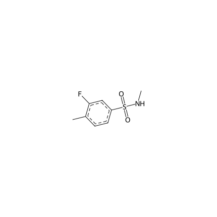 CNS(=O)(=O)c1ccc(C)c(F)c1